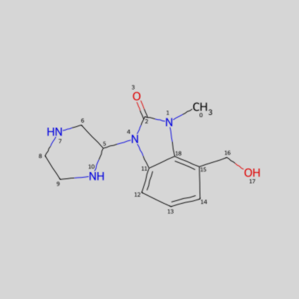 Cn1c(=O)n(C2CNCCN2)c2cccc(CO)c21